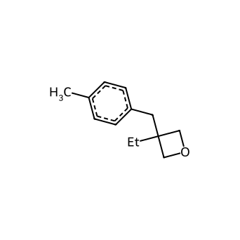 CCC1(Cc2ccc(C)cc2)COC1